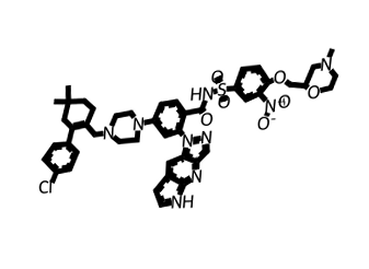 CN1CCOC(COc2ccc(S(=O)(=O)NC(=O)c3ccc(N4CCN(CC5=C(c6ccc(Cl)cc6)CC(C)(C)CC5)CC4)cc3-n3ncc4nc5[nH]ccc5cc43)cc2[N+](=O)[O-])C1